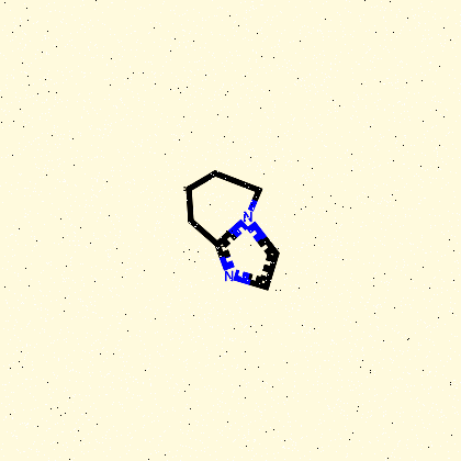 [C]1CCn2ccnc2C1